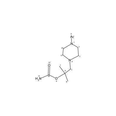 CC(=O)N1CCN(CC(C)(C)OC(N)=O)CC1